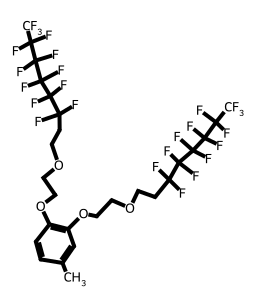 Cc1ccc(OCCOCCC(F)(F)C(F)(F)C(F)(F)C(F)(F)C(F)(F)C(F)(F)F)c(OCCOCCC(F)(F)C(F)(F)C(F)(F)C(F)(F)C(F)(F)C(F)(F)F)c1